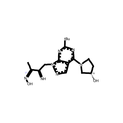 C/C(=N/O)C(=N)Cn1ncc2c(N3CC[C@H](O)C3)nc(C(C)(C)C)nc21